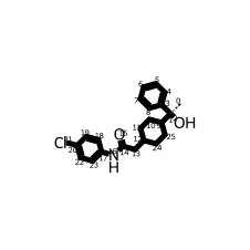 C[C@@](O)(c1ccccc1)C1CCC(CC(=O)Nc2ccc(Cl)cc2)CC1